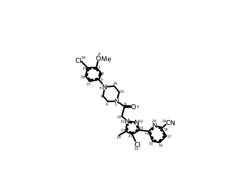 COc1cc(N2CCN(C(=O)Cn3nc(-c4cccc(C#N)n4)c(Cl)c3C)CC2)ccc1Cl